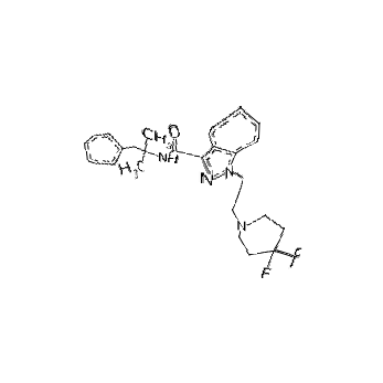 CC(C)(NC(=O)c1nn(CCN2CCC(F)(F)CC2)c2ccccc12)c1ccccc1